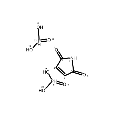 O=C1C=CC(=O)N1.O=[PH](O)O.O=[PH](O)O